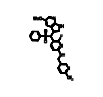 COc1cnc2[nH]cc(C(c3ccc(NCc4ccc(C(F)(F)F)nc4)nc3F)S(=O)(=O)c3ccccc3)c2c1